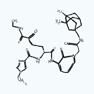 CCNC(=O)C(=O)CC[C@H](NC(=O)c1cn(C)cn1)C(=O)Nc1cccn(CC(=O)NC23CC4CC(C)(C2)C(C)(C4)C3)c1=O